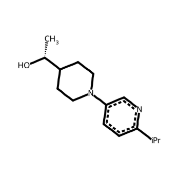 CC(C)c1ccc(N2CCC([C@@H](C)O)CC2)cn1